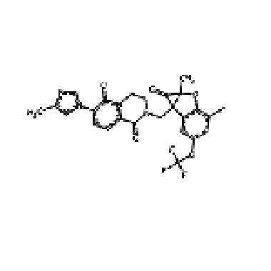 Cc1cn(-c2ccc3n(c2=O)CCN(CC24C(=O)C2(C)Oc2c(F)cc(OC(F)(F)F)cc24)C3=O)cn1